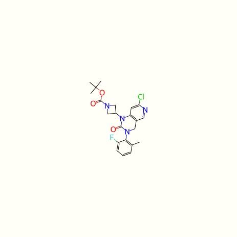 Cc1cccc(F)c1N1Cc2cnc(Cl)cc2N(C2CN(C(=O)OC(C)(C)C)C2)C1=O